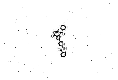 CC(C)N(c1cc(-c2ccc(NC(=O)c3ccccn3)nc2)sc1C(=O)O)C(=O)[C@H]1CC[C@H](C)CC1